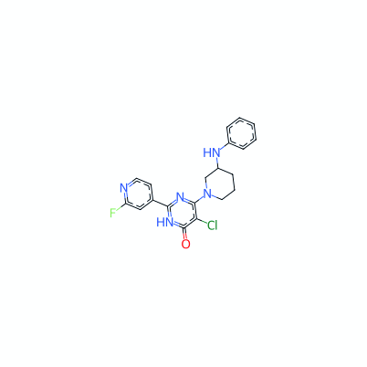 O=c1[nH]c(-c2ccnc(F)c2)nc(N2CCCC(Nc3ccccc3)C2)c1Cl